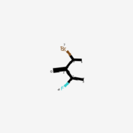 C=C(C(C)F)C(C)Br